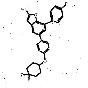 CCc1cc2cc(-c3ccc(OC4CCC(F)(F)CC4)cc3)cc(-c3ccc(F)cc3)c2o1